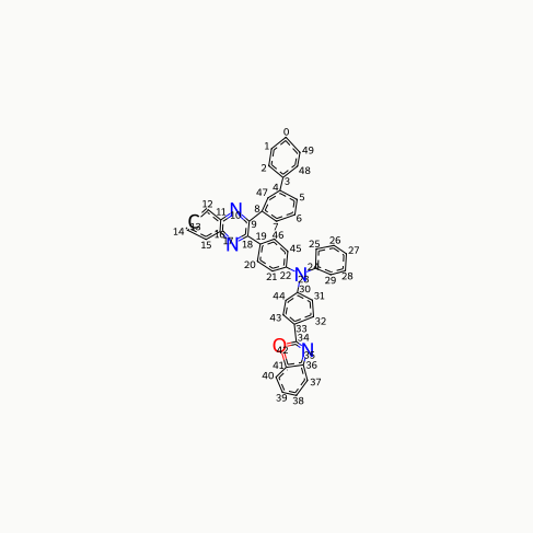 c1ccc(-c2cccc(-c3nc4ccccc4nc3-c3ccc(N(c4ccccc4)c4ccc(-c5nc6ccccc6o5)cc4)cc3)c2)cc1